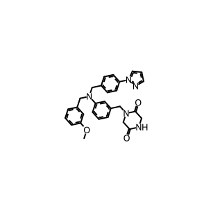 COc1cccc(CN(Cc2ccc(-n3cccn3)cc2)c2cccc(CN3CC(=O)NCC3=O)c2)c1